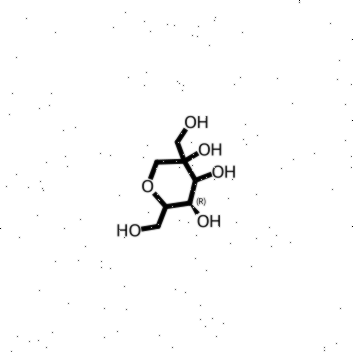 OCC1OCC(O)(CO)C(O)[C@H]1O